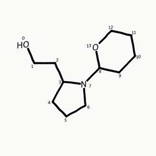 OCCC1CCCN1C1CCCCO1